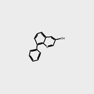 Oc1cnc2c(-c3ccccc3)cccc2c1